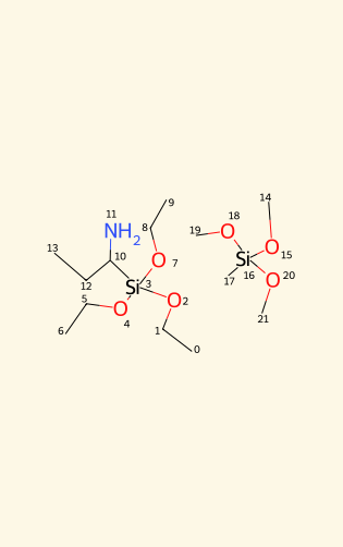 CCO[Si](OCC)(OCC)C(N)CC.CO[Si](C)(OC)OC